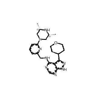 C[C@@H]1CN(c2cccc(CNc3ncnc4[nH]nc(C5CCOCC5)c34)n2)C[C@H](C)N1